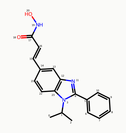 CC(C)n1c(-c2ccccc2)nc2cc(C=CC(=O)NO)ccc21